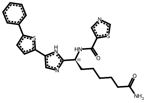 NC(=O)CCCCC[C@H](NC(=O)c1cncs1)c1ncc(-c2ccc(-c3ccccc3)s2)[nH]1